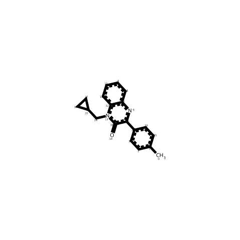 Cc1ccc(-c2nc3ccccc3n(CC3CC3)c2=O)cc1